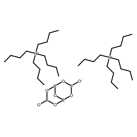 CCCC[N+](CCCC)(CCCC)CCCC.CCCC[N+](CCCC)(CCCC)CCCC.[O-]B1OB2OB([O-])OB(O1)O2